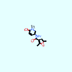 CCn1cc(NC(=O)c2cc(C)oc2C)ccc1=O